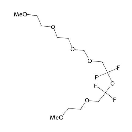 COCCOCCOCOCC(F)(F)OC(F)(F)COCCOC